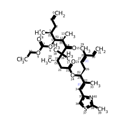 C=CC[C@H](C)[C@H](OC(=O)OCC(Cl)(Cl)Cl)[C@@H](C)C(=O)C(C)(C)[C@@H](C)CC(=O)O[C@@H](C/C=C(/C)C=C)/C(C)=C/c1csc(C)n1